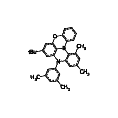 Cc1cc(C)cc(N2c3cc(C)cc(C)c3B3c4ccccc4Oc4cc(C(C)(C)C)cc2c43)c1